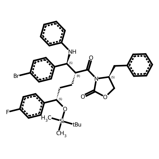 CC(C)(C)[Si](C)(C)O[C@@H](CC[C@@H](C(=O)N1C(=O)OC[C@@H]1Cc1ccccc1)[C@H](Nc1ccccc1)c1ccc(Br)cc1)c1ccc(F)cc1